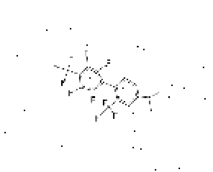 CC(C)c1ccc(-c2c(F)c(F)c(C(F)(F)F)c(F)c2F)c(C(F)(F)F)c1